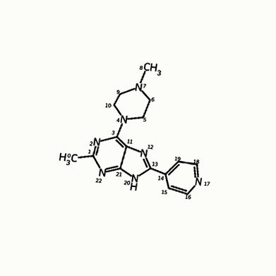 Cc1nc(N2CCN(C)CC2)c2nc(-c3ccncc3)[nH]c2n1